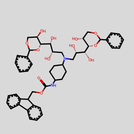 O=C(NC1CCC(N(C[C@H](O)[C@@H](O)[C@H]2OC(c3ccccc3)OC[C@H]2O)C[C@H](O)[C@@H](O)[C@@H]2OC(c3ccccc3)OC[C@H]2O)CC1)OCC1c2ccccc2-c2ccccc21